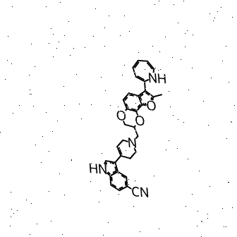 Cc1oc2c3c(ccc2c1C1=CC=CC=CN1)OCC(CN1CC=C(c2c[nH]c4ccc(C#N)cc24)CC1)O3